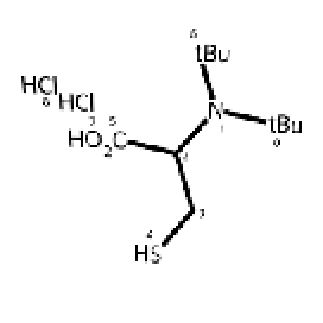 CC(C)(C)N(C(CS)C(=O)O)C(C)(C)C.Cl.Cl